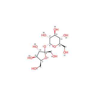 OC[C@@H]1O[C@@](CO)(O[C@H]2O[C@H](CO)[C@@H](O)[C@H](O)[C@H]2O)[C@@H](O)[C@@H]1O